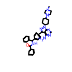 CN1CCN(C2CCC(n3nc(-c4ccc(C(NC(=O)c5ccccc5)c5ccccc5)cc4)c4c(N)ncnc43)CC2)CC1